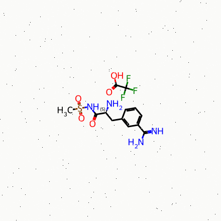 CS(=O)(=O)NC(=O)[C@@H](N)Cc1cccc(C(=N)N)c1.O=C(O)C(F)(F)F